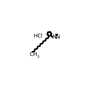 CCCCCCCCCCCCCc1ccccc1Cn1ccnc1.Cl